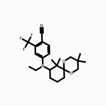 CCN(c1ccc(C#N)c(C(F)(F)F)c1)C1CCCC2(OCC(C)(C)CO2)C1(C)C